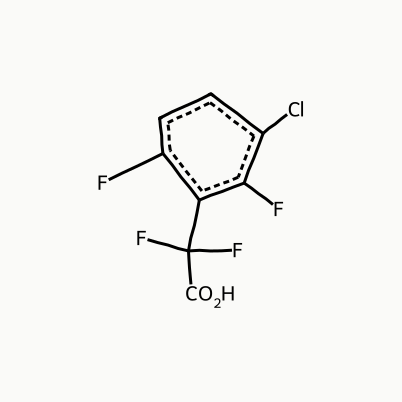 O=C(O)C(F)(F)c1c(F)ccc(Cl)c1F